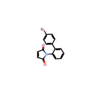 O=C1C=CC(=O)N1c1ccccc1-c1ccc(Br)cc1